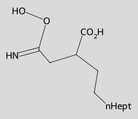 CCCCCCCCCC(CC(=N)OO)C(=O)O